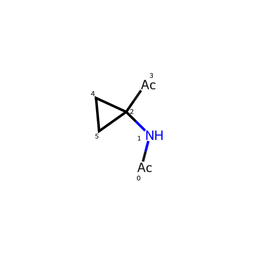 CC(=O)NC1(C(C)=O)CC1